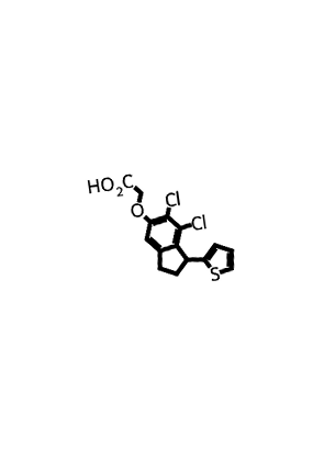 O=C(O)COc1cc2c(c(Cl)c1Cl)C(c1cccs1)CC2